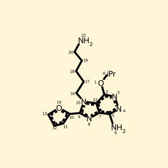 CC(C)Oc1nnc(N)c2nc(-c3ccco3)n(CCCCCN)c12